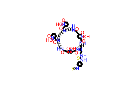 O=C1NCCCN(C(=O)c2cccc(=O)n2O)CCCCN(C(=O)c2cccc(=O)n2O)CCCNC(=O)c2ccc(n(O)c2=O)C(=O)N[C@@H](CCCCNC(=S)Nc2ccc(N=C=S)cc2)CNC(=O)c2ccc1c(=O)n2O